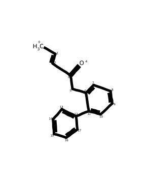 CC=CC(=O)Cc1ccccc1-c1ccccc1